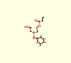 C=CC(=O)OCCC(CCO)Oc1ccccc1